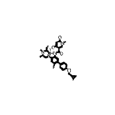 CC1CN(c2cc(F)c(-c3ccc(OCC4CC4)cc3)cc2NC(=O)c2cn(C)c(=O)cc2C(F)(F)F)CC(C)N1C